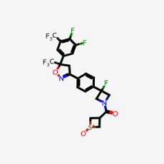 O=C(C1C[S+]([O-])C1)N1CC(F)(c2ccc(C3=NOC(c4cc(F)c(F)c(C(F)(F)F)c4)(C(F)(F)F)C3)cc2)C1